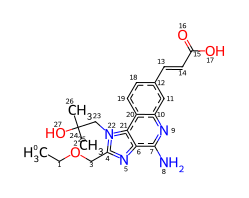 CCOCc1nc2c(N)nc3cc(C=CC(=O)O)ccc3c2n1CC(C)(C)O